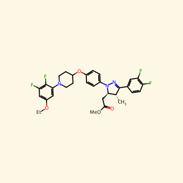 CCOc1cc(F)c(F)c(N2CCC(Oc3ccc(N4N=C(c5ccc(F)c(F)c5)[C@H](C)[C@H]4CC(=O)OC)cc3)CC2)c1